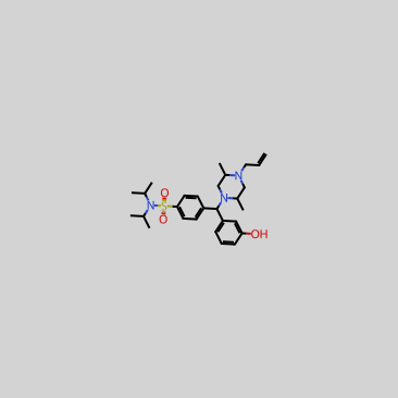 C=CCN1CC(C)N(C(c2ccc(S(=O)(=O)N(C(C)C)C(C)C)cc2)c2cccc(O)c2)CC1C